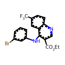 CCOC(=O)c1cnc2ccc(C(F)(F)F)cc2c1Nc1cccc(Br)c1